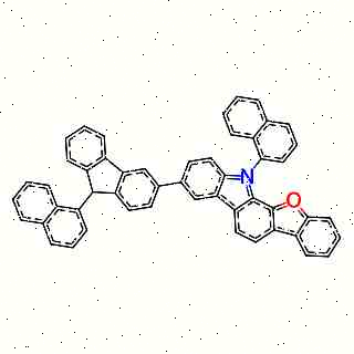 c1ccc2c(c1)-c1cc(-c3ccc4c(c3)c3ccc5c6ccccc6oc5c3n4-c3cccc4ccccc34)ccc1C2c1cccc2ccccc12